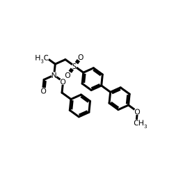 COc1ccc(-c2ccc(S(=O)(=O)CC(C)N(C=O)OCc3ccccc3)cc2)cc1